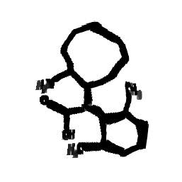 Cc1cccc(C)c1N(C(=O)O)C1CCC=CCCC1N